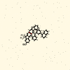 CC(C)(C)c1ccc2c(c1)C(C)(C)c1cccc(-c3ccccc3N(c3cccc(-c4cccc5ccccc45)c3)c3cccc4oc5ccccc5c34)c1-2